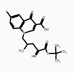 CC(CC(=N)C(=O)OC(C)(C)C)Cn1cc(C(=O)O)c(=O)c2cc(I)ccc21